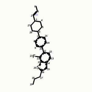 C/C=C/C1CCC(c2ccc(-c3ccc4cc(CCC)sc4c3F)cc2)CC1